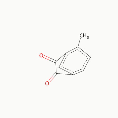 Cc1ccc2cc1C(=O)C2=O